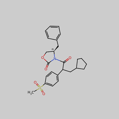 CS(=O)(=O)c1ccc(C(CC2CCCC2)C(=O)N2C(=O)OC[C@H]2Cc2ccccc2)cc1